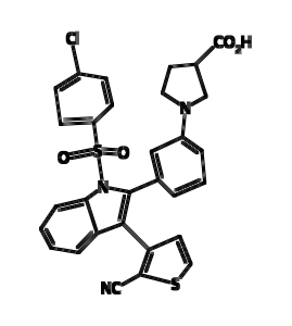 N#Cc1sccc1-c1c(-c2cccc(N3CCC(C(=O)O)C3)c2)n(S(=O)(=O)c2ccc(Cl)cc2)c2ccccc12